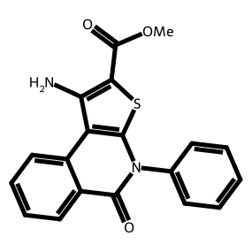 COC(=O)c1sc2c(c1N)c1ccccc1c(=O)n2-c1ccccc1